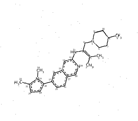 CC(C)=C(CN1CCC(C(F)(F)F)CC1)Nc1cc2cc(-c3ccc(C)n3C)ccc2cn1